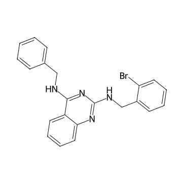 Brc1ccccc1CNc1nc(NCc2ccccc2)c2ccccc2n1